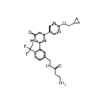 CCCC(=O)NCc1ccc(C(F)(F)F)c(-c2nc(-c3cnc(OCC4CC4)nc3)cc(=O)[nH]2)c1